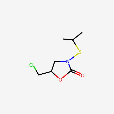 CC(C)SN1CC(CCl)OC1=O